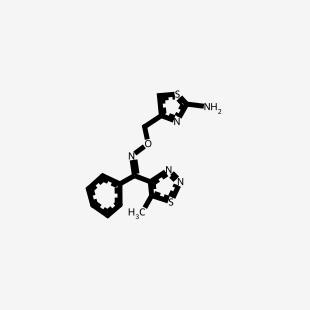 Cc1snnc1C(=NOCc1csc(N)n1)c1ccccc1